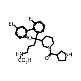 CCc1cccc(-c2c(F)cccc2C(O)(CCCNC(=O)O)C2CCCN(C(=O)C3CCNC3)C2)c1